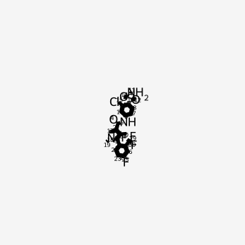 Cc1c(C(=O)Nc2ccc(S(N)(=O)=O)c(Cl)c2)cn(C)c1-c1ccc(F)cc1C(F)(F)F